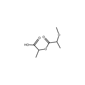 COC(C)C(=O)OC(C)C(=O)O